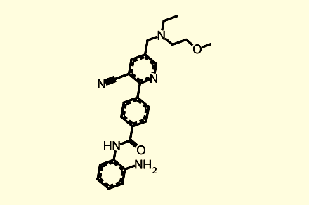 CCN(CCOC)Cc1cnc(-c2ccc(C(=O)Nc3ccccc3N)cc2)c(C#N)c1